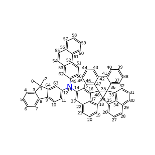 CC1(C)c2ccccc2-c2ccc(N(c3cc4c5c(cccc5c3)C35c6cccc7cccc(c67)C36c3ccccc3-c3ccccc3C465)c3ccc4c(ccc5ccccc54)c3)cc21